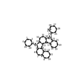 c1ccc(-n2c3ccc4ccccc4c3c3c4c5ccccc5n(-c5ccccn5)c4ccc32)cc1